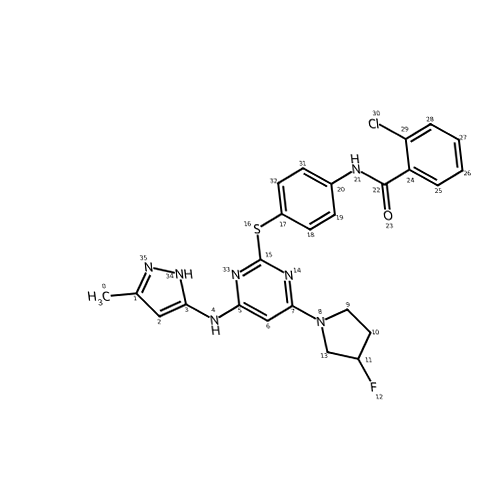 Cc1cc(Nc2cc(N3CCC(F)C3)nc(Sc3ccc(NC(=O)c4ccccc4Cl)cc3)n2)[nH]n1